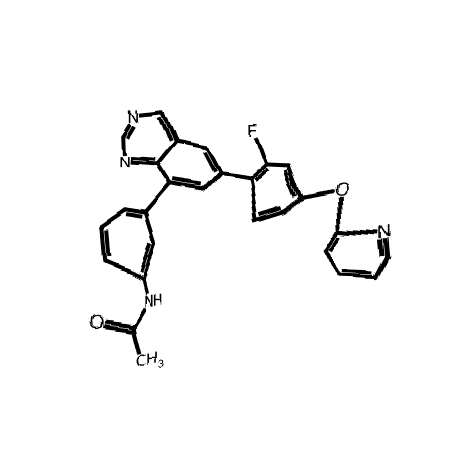 CC(=O)Nc1cccc(-c2cc(-c3ccc(Oc4ccccn4)cc3F)cc3cncnc23)c1